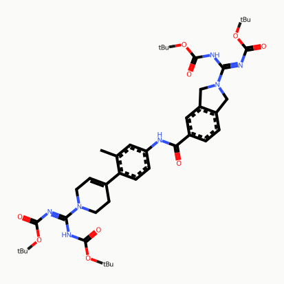 Cc1cc(NC(=O)c2ccc3c(c2)CN(C(=NC(=O)OC(C)(C)C)NC(=O)OC(C)(C)C)C3)ccc1C1=CCN(C(=NC(=O)OC(C)(C)C)NC(=O)OC(C)(C)C)CC1